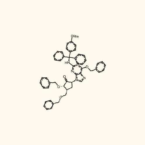 COc1ccc(C(Nc2nc(OCc3ccccc3)c3ncn([C@H]4C[C@@H](COCc5ccccc5)[C@H](OCc5ccccc5)C4=O)c3n2)(c2ccccc2)c2ccccc2)cc1